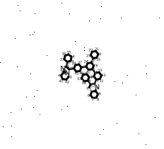 C=C(/C(=N\c1ccccc1)c1cccc(-c2cc(-c3ccccc3)cc(-c3ccc(-c4c(-c5ccccc5)nc5ccccn45)cc3)c2)c1)c1ccccc1